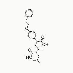 CC(C)CC(NCC(C(=O)O)c1ccc(OCCc2ccccc2)cc1)C(=O)O